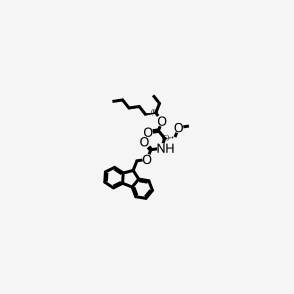 CCCCC[C@@H](CC)OC(=O)[C@H](COC)NC(=O)OCC1c2ccccc2-c2ccccc21